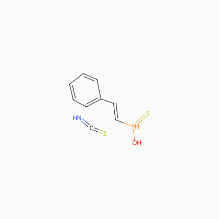 N=C=S.O[PH](=S)C=Cc1ccccc1